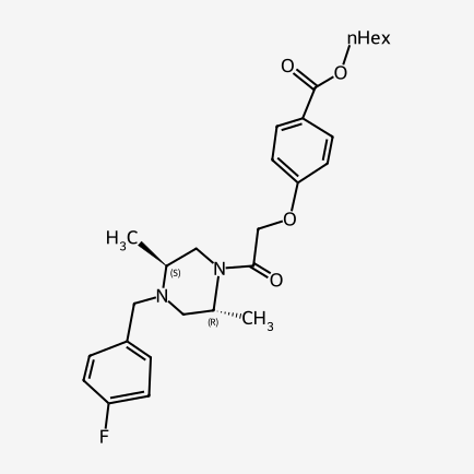 CCCCCCOC(=O)c1ccc(OCC(=O)N2C[C@H](C)N(Cc3ccc(F)cc3)C[C@H]2C)cc1